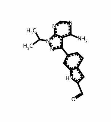 CC(C)n1nc(-c2ccc3cc(C=O)[nH]c3c2)c2c(N)ncnc21